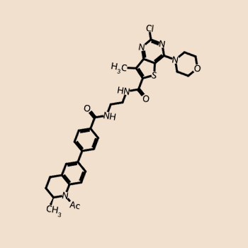 CC(=O)N1c2ccc(-c3ccc(C(=O)NCCNC(=O)c4sc5c(N6CCOCC6)nc(Cl)nc5c4C)cc3)cc2CC[C@@H]1C